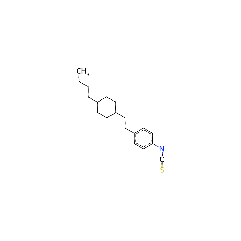 CCCCC1CCC(CCc2ccc(N=C=S)cc2)CC1